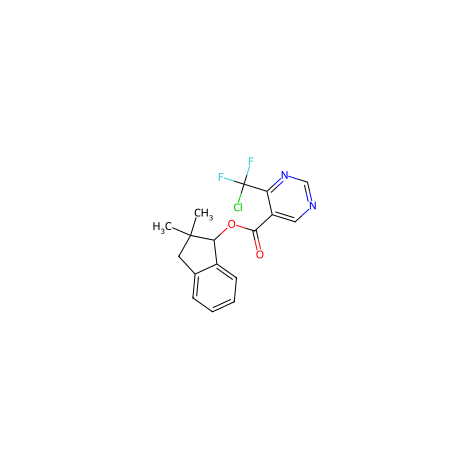 CC1(C)Cc2ccccc2C1OC(=O)c1cncnc1C(F)(F)Cl